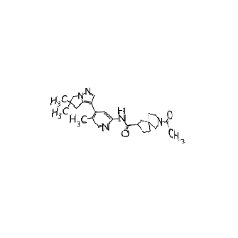 CC(=O)N1CC[C@@]2(CC[C@@H](C(=O)Nc3cc(-c4cnn5c4CC(C)(C)C5)c(C)cn3)C2)C1